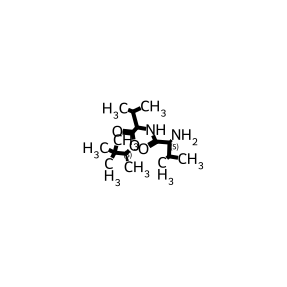 CC(C)C(NC(=O)[C@@H](N)C(C)C)C(=O)O[C@@H](C)C(C)(C)C